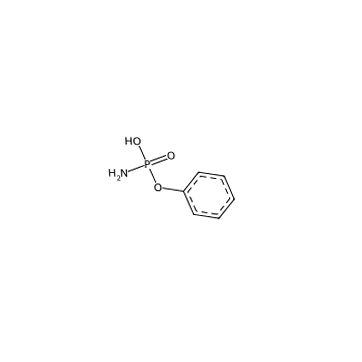 NP(=O)(O)Oc1ccccc1